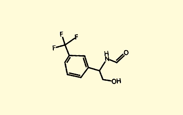 O=CNC(CO)c1cccc(C(F)(F)F)c1